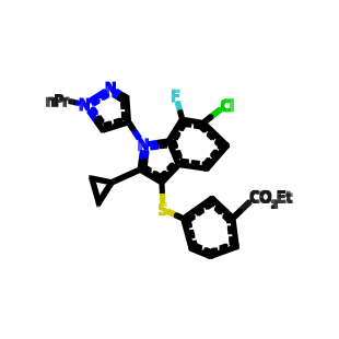 CCCn1cc(-n2c(C3CC3)c(Sc3cccc(C(=O)OCC)c3)c3ccc(Cl)c(F)c32)cn1